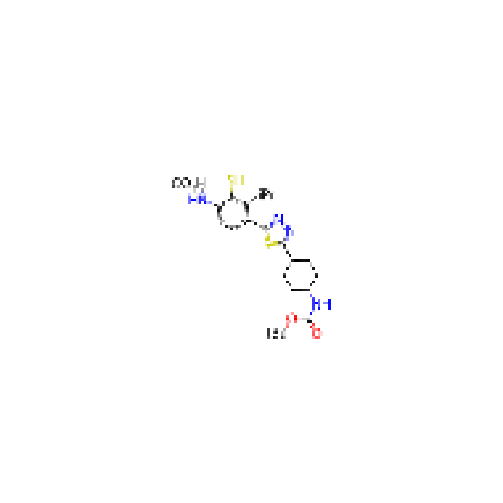 CC(C)c1c(-c2nnc(C3CCC(NC(=O)OC(C)(C)C)CC3)s2)ccc(NC(=O)O)c1S